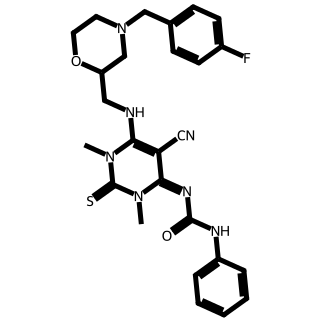 Cn1c(NCC2CN(Cc3ccc(F)cc3)CCO2)c(C#N)/c(=N/C(=O)Nc2ccccc2)n(C)c1=S